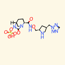 O=C(NOC[C@H]1C[C@@H](Cn2ncnn2)CN1)[C@@H]1CC[C@@H]2CN1C(=O)N2OS(=O)(=O)O